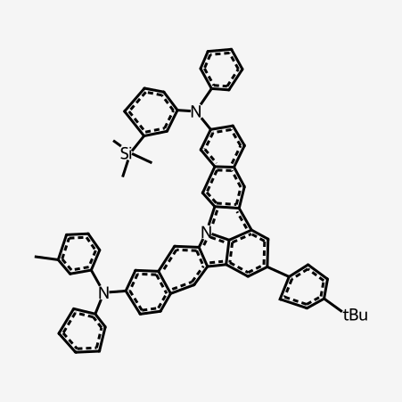 Cc1cccc(N(c2ccccc2)c2ccc3cc4c5cc(-c6ccc(C(C)(C)C)cc6)cc6c7cc8ccc(N(c9ccccc9)c9cccc([Si](C)(C)C)c9)cc8cc7n(c4cc3c2)c56)c1